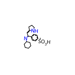 C(=C1CCCN1)C(=NC1CCCCC1)c1ccccc1.CS(=O)(=O)O